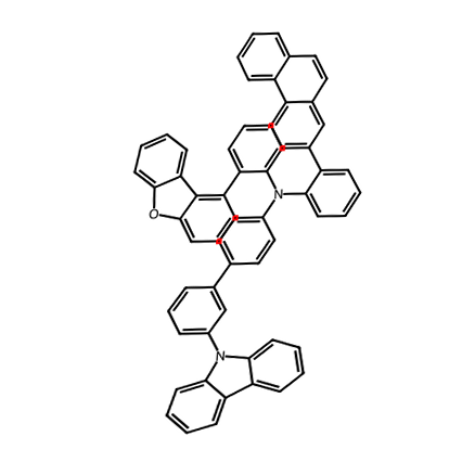 c1cc(-c2ccc(N(c3ccccc3-c3ccc4c(ccc5ccccc54)c3)c3ccccc3-c3cccc4oc5ccccc5c34)cc2)cc(-n2c3ccccc3c3ccccc32)c1